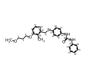 COCCCOc1ccnc(CSc2ccc(NC(=O)Nc3ccccc3)cc2)c1C